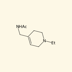 CCN1CC=C(CNC(C)=O)CC1